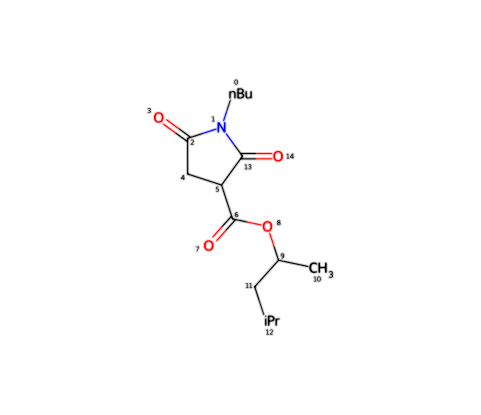 CCCCN1C(=O)CC(C(=O)OC(C)CC(C)C)C1=O